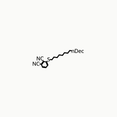 CCCCCCCCCCCCCCCCCCSc1cccc(C#N)c1C#N